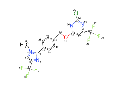 Cn1cc(C(F)(F)F)nc1-c1ccc(COc2cc(C(F)(F)F)nc(Cl)n2)cc1